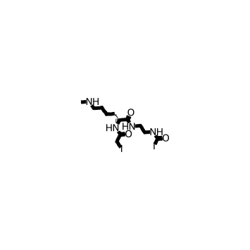 CNCCCC[C@@H](NC(=O)CI)C(=O)NCCNC(=O)I